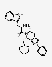 N[C@@H](Cc1c[nH]c2ccccc12)C(=O)N1CCn2cc(-c3ccccc3)nc2[C@@H]1CC1CCCCC1